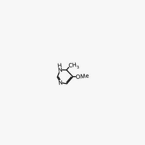 COC1=CN=CNC1C